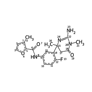 Cc1ccoc1C(=O)Nc1ccc(F)c(C2(C)CC(=O)N(C)C(N)=N2)c1